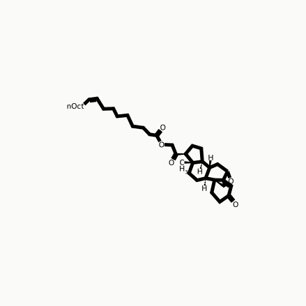 CCCCCCCC/C=C\CCCCCCCC(=O)OCC(=O)[C@H]1CC[C@H]2[C@@H]3CC4OC[C@@]5(CCC(=O)C=C45)[C@H]3CC[C@]12C